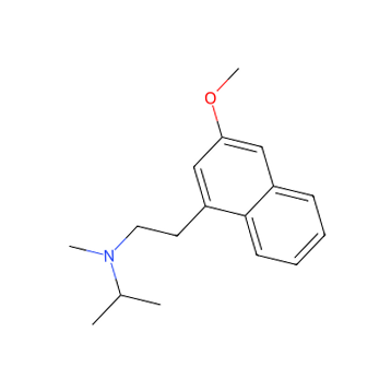 COc1cc(CCN(C)C(C)C)c2ccccc2c1